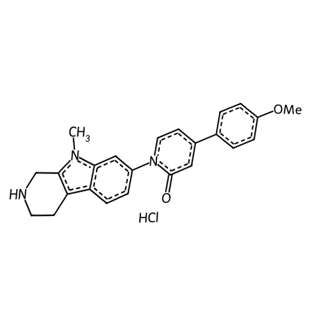 COc1ccc(-c2ccn(-c3ccc4c5c(n(C)c4c3)CNCC5)c(=O)c2)cc1.Cl